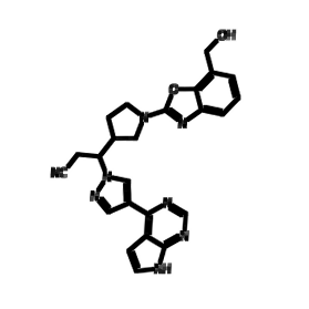 N#CCC(C1CCN(c2nc3cccc(CO)c3o2)C1)n1cc(-c2ncnc3[nH]ccc23)cn1